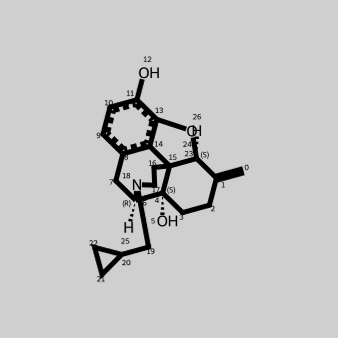 C=C1CC[C@@]2(O)[C@H]3Cc4ccc(O)c5c4C2(CCN3CC2CC2)[C@H]1O5